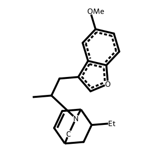 CCC1CC2C=CC1N(C(C)Cc1coc3ccc(OC)cc13)C2